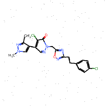 Cc1nn(C)cc1-c1cnn(Cc2nc(CCc3ccc(Cl)cc3)no2)c(=O)c1Cl